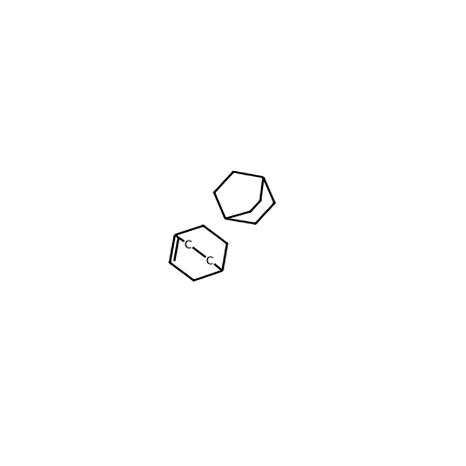 C1=C2CCC(C1)CC2.C1CC2CCC1CC2